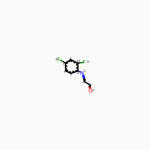 O=CC=Nc1ccc(F)cc1F